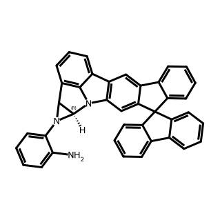 Nc1ccccc1N1C2c3cccc4c5cc6c(cc5n(c34)[C@H]21)C1(c2ccccc2-c2ccccc21)c1ccccc1-6